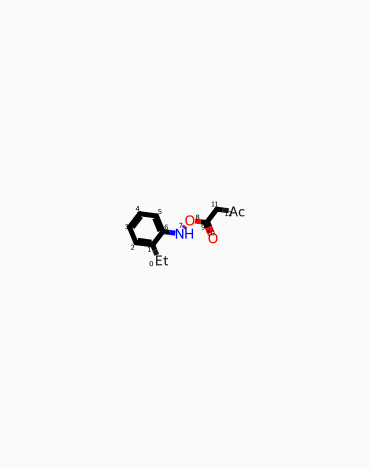 CCc1ccccc1NOC(=O)CC(C)=O